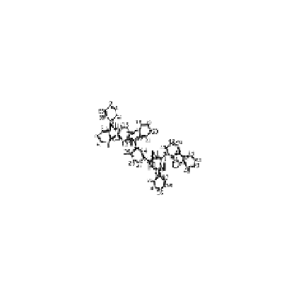 C1=CCC(n2c3ccccc3c3cc4c(cc32)c2ccccc2n4-c2cccc(-c3nc(-c4ccccc4)nc(-c4cccc5c4oc4ccccc45)n3)c2)C=C1